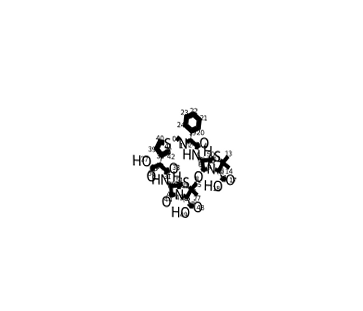 C=N[C@@H](C(=O)N[C@@H]1C(=O)N2[C@@H]1SC(C)(C)[C@@H]2C(=O)O)c1ccccc1.CC1(C)S[C@@H]2[C@H](NC(=O)[C@H](C(=O)O)c3ccsc3)C(=O)N2[C@H]1C(=O)O